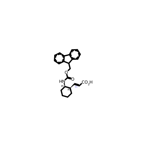 O=C(O)/C=C/[C@H]1CCCC[C@H]1NC(=O)OCC1c2ccccc2-c2ccccc21